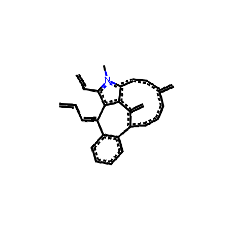 C=C/C=C1/c2ccccc2-c2cccc(=C)ccc3c(c1c(C=C)n3C)c2=C